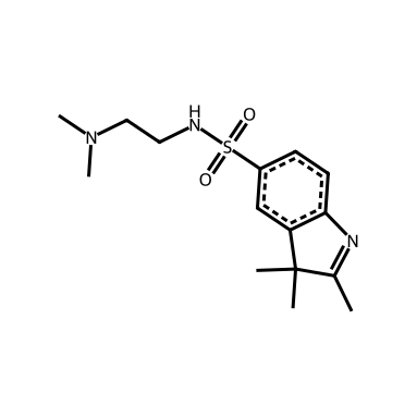 CC1=Nc2ccc(S(=O)(=O)NCCN(C)C)cc2C1(C)C